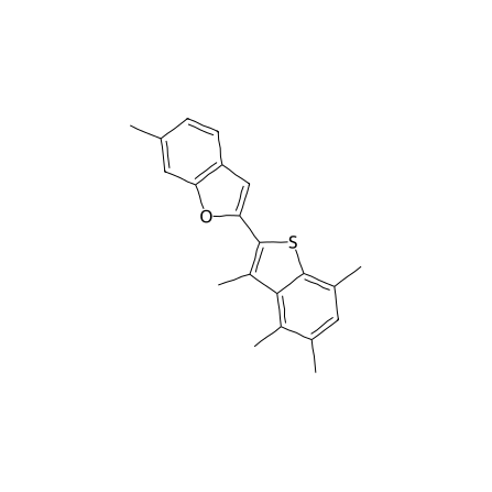 Cc1ccc2cc(-c3sc4c(C)cc(C)c(C)c4c3C)oc2c1